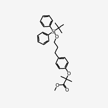 COC(=O)C(C)(C)Oc1ccc(CCCO[Si](c2ccccc2)(c2ccccc2)C(C)(C)C)cc1